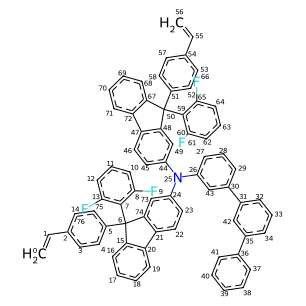 C=Cc1ccc(C2(c3c(F)cccc3F)c3ccccc3-c3ccc(N(c4cccc(-c5cccc(-c6ccccc6)c5)c4)c4ccc5c(c4)C(c4ccc(C=C)cc4)(c4c(F)cccc4F)c4ccccc4-5)cc32)cc1